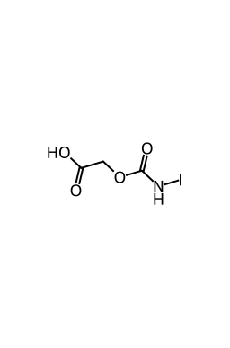 O=C(O)COC(=O)NI